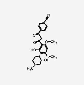 COc1cc(OC)c([C@H]2CCN(C)C[C@H]2O)c(O)c1C(=O)CC(=O)c1ccc(C#N)cc1